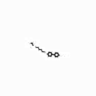 CCC(C)(C)C(=O)OCCCCCCOc1ccc(-c2ccc(OC)cc2)cc1